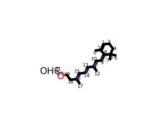 CC1=CCCC(C)(C)/C1=C/C=C(C)/C=C/C=C(\C)CCOC=O